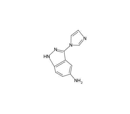 Nc1ccc2[nH]nc(-n3ccnc3)c2c1